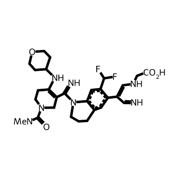 CNC(=O)N1CCC(NC2CCOCC2)=C(C(=N)N2CCCc3cc(/C(C=N)=C/NCC(=O)O)c(C(F)F)cc32)C1